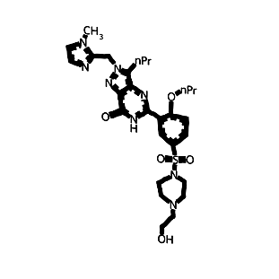 CCCOc1ccc(S(=O)(=O)N2CCN(CCO)CC2)cc1-c1nc2c(CCC)n(Cc3nccn3C)nc2c(=O)[nH]1